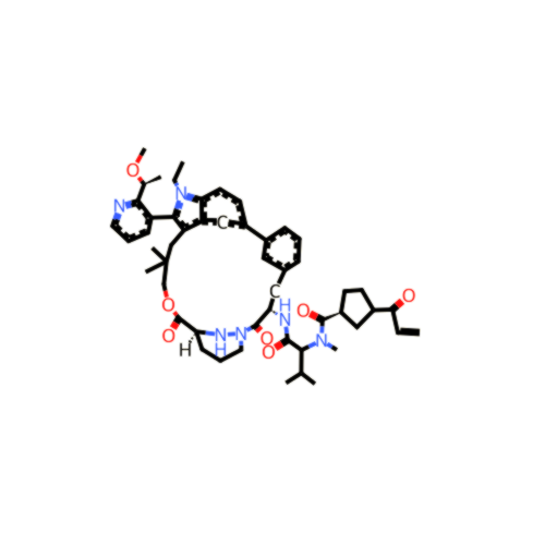 C=CC(=O)C1CC[C@H](C(=O)N(C)C(C(=O)N[C@H]2Cc3cccc(c3)-c3ccc4c(c3)c(c(-c3cccnc3[C@H](C)OC)n4CC)CC(C)(C)COC(=O)[C@@H]3CCCN(N3)C2=O)C(C)C)C1